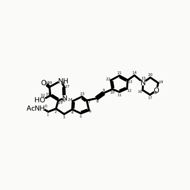 CC(=O)NCC(Cc1ccc(C#Cc2ccc(CN3CCOCC3)cc2)cc1)c1nc[nH]c(=O)c1O